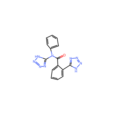 O=C(c1ccccc1-c1nnn[nH]1)N(c1ccccc1)c1nnn[nH]1